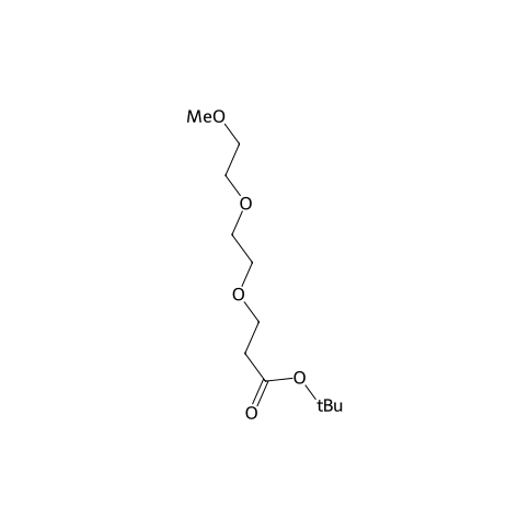 COCCOCCOCCC(=O)OC(C)(C)C